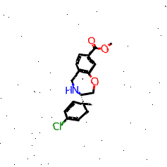 COC(=O)c1ccc2c(c1)OC[C@H](C1(C)C=CC(Cl)=CC1)NC2